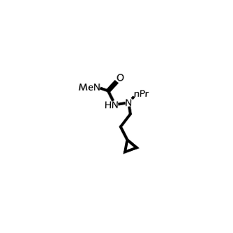 CCCN(CCC1CC1)NC(=O)NC